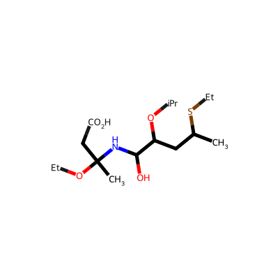 CCOC(C)(CC(=O)O)NC(O)C(CC(C)SCC)OC(C)C